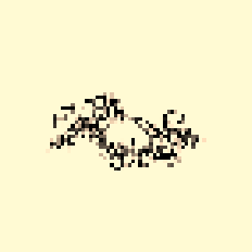 CCn1c(-c2cccnc2[C@H](C)OC)c2c3cc(ccc31)-c1csc(n1)C[C@H](NC(=O)[C@H](C(C)C)N(C)C(=O)N1C[C@H]3NCC[C@H]31)C(=O)N1CCC[C@H](N1)C(=O)OCC(C)(C)C2